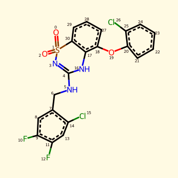 O=S1(=O)N=C(NCc2cc(F)c(F)cc2Cl)Nc2c(Oc3ccccc3Cl)cccc21